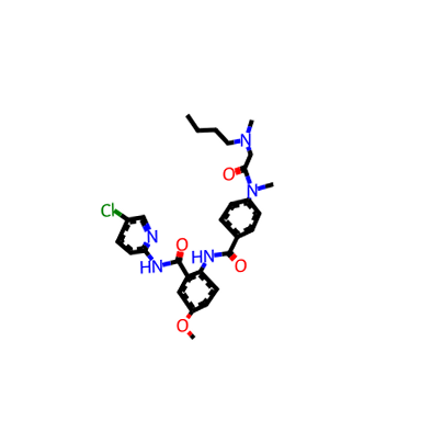 CCCCN(C)CC(=O)N(C)c1ccc(C(=O)Nc2ccc(OC)cc2C(=O)Nc2ccc(Cl)cn2)cc1